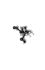 CC(=O)N[C@@H](CCC(=O)O)C(=O)O.C[C@H](Cc1cc(C#N)c2c(c1)CCN2CCCOC(=O)c1ccccc1)NCCOc1ccccc1OCC(F)(F)F